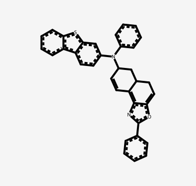 C1=CC(N(c2ccccc2)c2ccc3c(c2)sc2ccccc23)CC2CC=c3oc(-c4ccccc4)nc3=C12